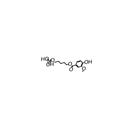 COc1cc(C(=O)OCCCCCON(O)O)ccc1O